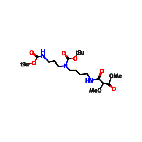 COC(=O)C(OC)C(=O)NCCCCN(CCCNC(=O)OC(C)(C)C)C(=O)OC(C)(C)C